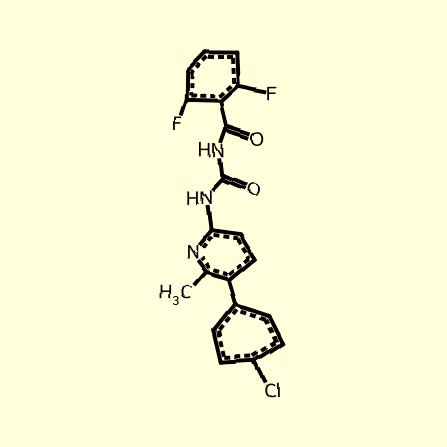 Cc1nc(NC(=O)NC(=O)c2c(F)cccc2F)ccc1-c1ccc(Cl)cc1